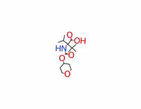 CC(C)C(NC(=O)OC1CCOCC1)(C(=O)O)C(C)(C)C